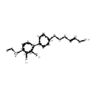 CCOc1ccc(-c2ccc(CCC/C=C/CF)cc2)c(F)c1F